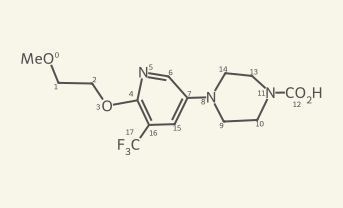 COCCOc1ncc(N2CCN(C(=O)O)CC2)cc1C(F)(F)F